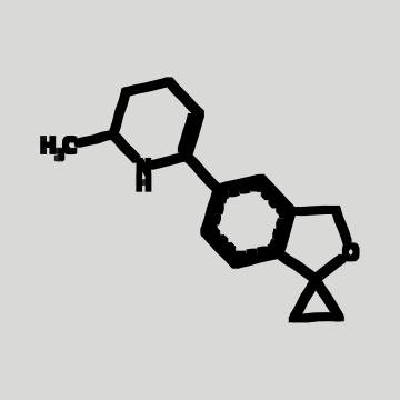 CC1CCC=C(c2ccc3c(c2)COC32CC2)N1